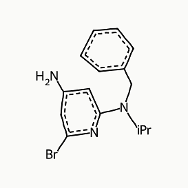 CC(C)N(Cc1ccccc1)c1cc(N)cc(Br)n1